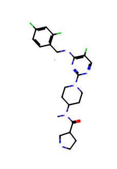 CC(C)N(C(=O)C1CCNC1)C1CCN(c2ncc(Cl)c(N[C@H](C)c3ccc(Cl)cc3Cl)n2)CC1